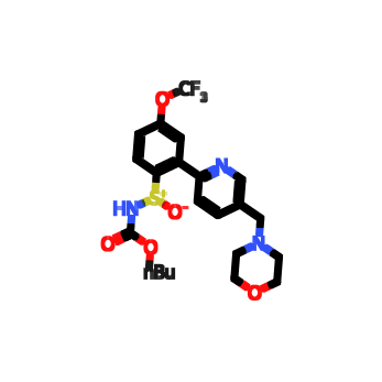 CCCCOC(=O)N[S+]([O-])c1ccc(OC(F)(F)F)cc1-c1ccc(CN2CCOCC2)cn1